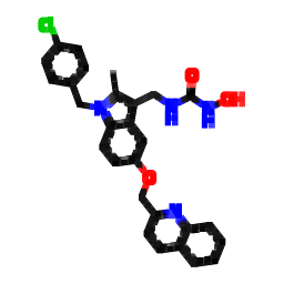 Cc1c(CNC(=O)NO)c2cc(OCc3ccc4ccccc4n3)ccc2n1Cc1ccc(Cl)cc1